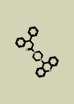 O=C(CC(c1ccccc1)c1ccccc1)N1CCN(C2c3ccccc3Oc3ccccc32)CC1